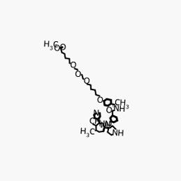 CCC1C(C)CC=C(C2(Nc3cccc(C(=O)N[C@@H](C)c4ccc(OCCCCCCOCCOCCOCCCCCC(=O)OC)cc4)c3)CCNCC2)NC1c1ccncc1